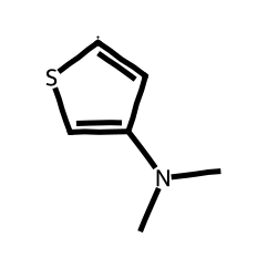 CN(C)c1c[c]sc1